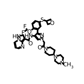 CN1CCN(C2CCN(C(=O)Cn3cc(NC(=O)C4=C5N=CC=CN5NC4)c(-c4cc(SC5COC5)ccc4OC(F)F)n3)CC2)CC1